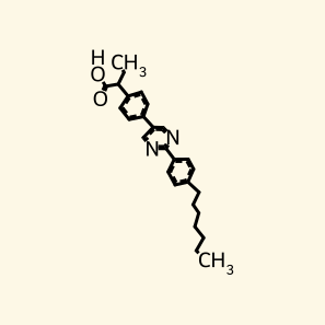 CCCCCCCc1ccc(-c2ncc(-c3ccc(C(CC)C(=O)O)cc3)cn2)cc1